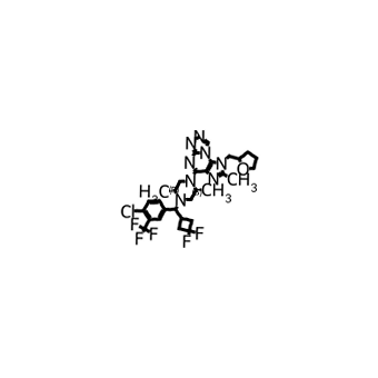 Cc1nc2c(N3C[C@@H](C)N(C(c4ccc(Cl)c(C(F)(F)F)c4)C4CC(F)(F)C4)C[C@@H]3C)nc3nncn3c2n1CC1CCCO1